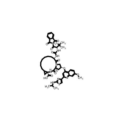 COc1ccc2c(O[C@@H]3C[C@H]4C(=O)N[C@]5(C(=O)O)CC5CCCCCCC[C@H](NC(=O)N[C@H](C(=O)N5C(=O)c6ccccc6C5=O)C(C)(C)C)C(=O)N4C3)cc(-c3csc(NC(C)C)n3)nc2c1